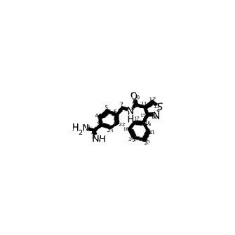 N=C(N)c1ccc(CNC(=O)c2csnc2-c2ccccc2)cc1